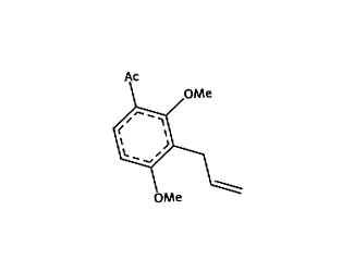 C=CCc1c(OC)ccc(C(C)=O)c1OC